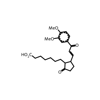 COc1ccc(C(=O)C=CC2CCC(=O)C2CCCCCCC(=O)O)cc1OC